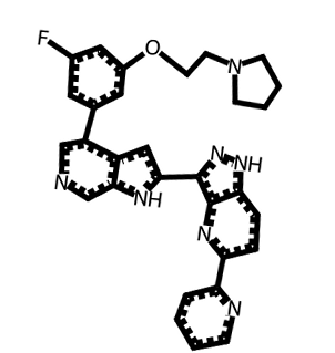 Fc1cc(OCCN2CCCC2)cc(-c2cncc3[nH]c(-c4n[nH]c5ccc(-c6ccccn6)nc45)cc23)c1